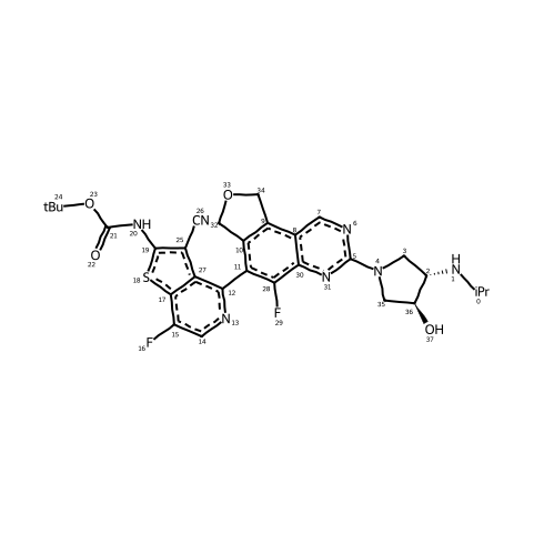 CC(C)N[C@H]1CN(c2ncc3c4c(c(-c5ncc(F)c6sc(NC(=O)OC(C)(C)C)c(C#N)c56)c(F)c3n2)COC4)C[C@@H]1O